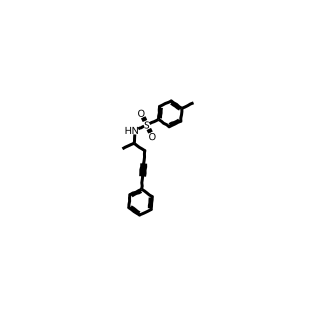 Cc1ccc(S(=O)(=O)NC(C)CC#Cc2ccccc2)cc1